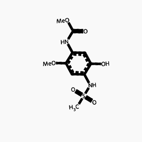 COC(=O)Nc1cc(O)c(NS(C)(=O)=O)cc1OC